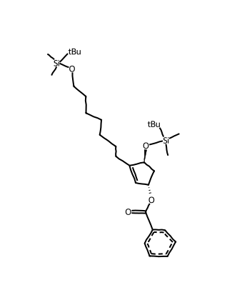 CC(C)(C)[Si](C)(C)OCCCCCCCC1=C[C@@H](OC(=O)c2ccccc2)C[C@@H]1O[Si](C)(C)C(C)(C)C